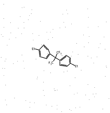 CCc1ccc(C(c2ccc(CC)cc2)(C(F)(F)F)C(F)(F)F)cc1